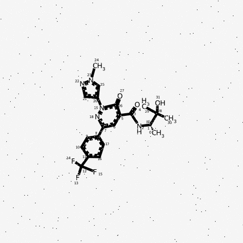 C[C@H](NC(=O)c1cc(-c2ccc(C(F)(F)F)cc2)nn(-c2cnn(C)c2)c1=O)C(C)(C)O